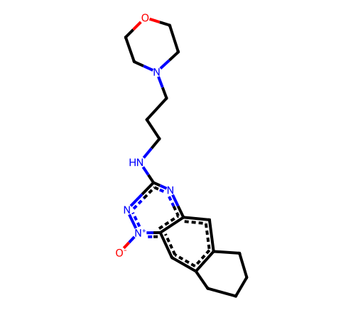 [O-][n+]1nc(NCCCN2CCOCC2)nc2cc3c(cc21)CCCC3